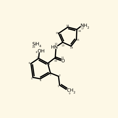 C=CCc1cccc(O)c1C(=O)Nc1ccc(N)cc1.[SiH4]